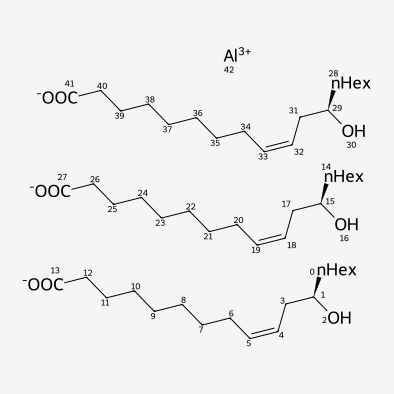 CCCCCC[C@@H](O)C/C=C\CCCCCCCC(=O)[O-].CCCCCC[C@@H](O)C/C=C\CCCCCCCC(=O)[O-].CCCCCC[C@@H](O)C/C=C\CCCCCCCC(=O)[O-].[Al+3]